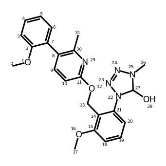 COc1ccccc1-c1ccc(OCc2c(OC)cccc2N2N=NN(C)C2O)nc1C